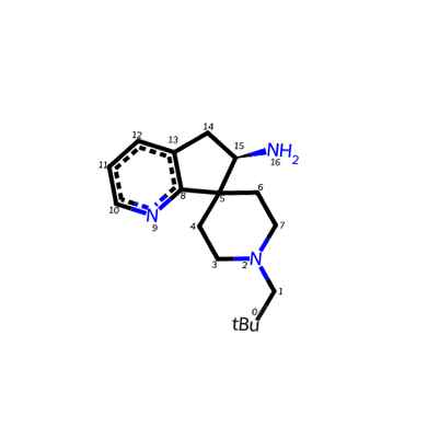 CC(C)(C)CN1CCC2(CC1)c1ncccc1C[C@H]2N